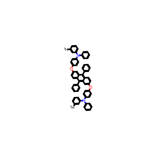 [3H]c1cccc(N(c2ccccc2)c2ccc(Oc3ccc4c(-c5ccccc5)c5cc(Oc6ccc(N(c7ccccc7)c7cccc([3H])c7)cc6)ccc5c(-c5ccccc5)c4c3)cc2)c1